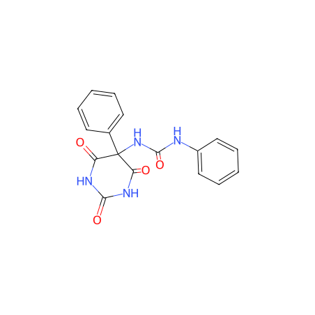 O=C1NC(=O)C(NC(=O)Nc2ccccc2)(c2ccccc2)C(=O)N1